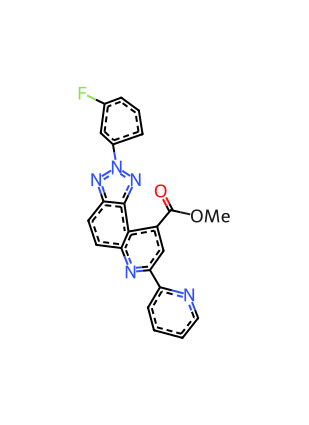 COC(=O)c1cc(-c2ccccn2)nc2ccc3nn(-c4cccc(F)c4)nc3c12